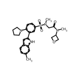 Cc1ccc2cc(-c3cc(S(=O)(=O)N(C)CC(=O)N(C)C4COC4)ccc3N3CCCC3)[nH]c2c1